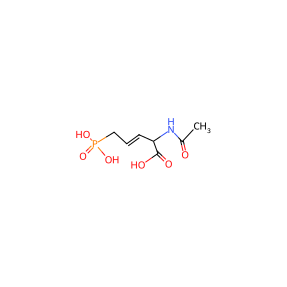 CC(=O)NC(C=CCP(=O)(O)O)C(=O)O